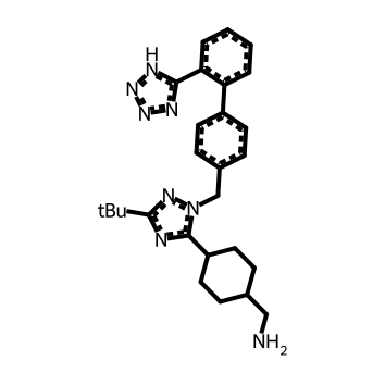 CC(C)(C)c1nc(C2CCC(CN)CC2)n(Cc2ccc(-c3ccccc3-c3nnn[nH]3)cc2)n1